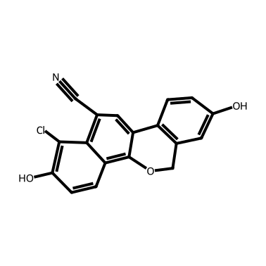 N#Cc1cc2c(c3ccc(O)c(Cl)c13)OCc1cc(O)ccc1-2